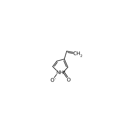 C=CC1=CC(=O)[NH+]([O-])C=C1